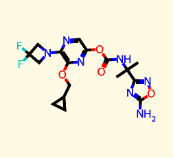 CC(C)(NC(=O)Oc1cnc(N2CC(F)(F)C2)c(OCC2CC2)n1)c1noc(N)n1